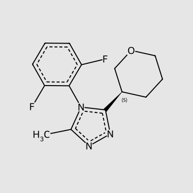 Cc1nnc([C@@H]2CCCOC2)n1-c1c(F)cccc1F